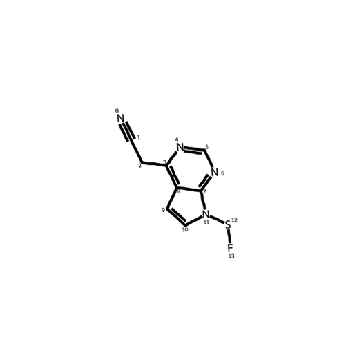 N#CCc1ncnc2c1ccn2SF